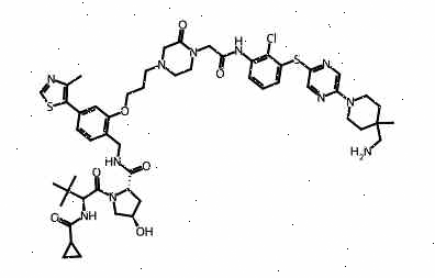 Cc1ncsc1-c1ccc(CNC(=O)[C@@H]2C[C@@H](O)CN2C(=O)[C@@H](NC(=O)C2CC2)C(C)(C)C)c(OCCCN2CCN(CC(=O)Nc3cccc(Sc4cnc(N5CCC(C)(CN)CC5)cn4)c3Cl)C(=O)C2)c1